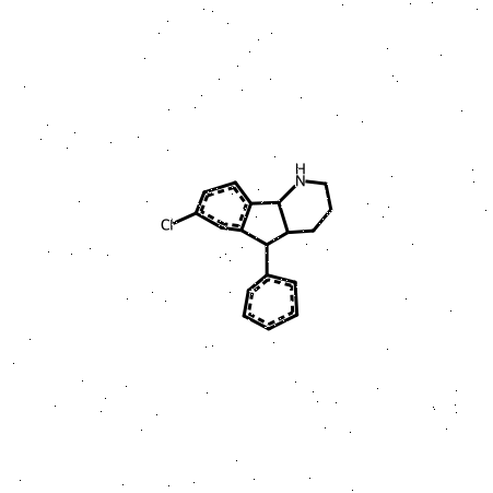 Clc1ccc2c(c1)C(c1ccccc1)C1CCCNC21